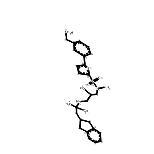 CN(CC(O)CNC(C)(C)CC1Cc2ccccc2C1)S(=O)(=O)c1ccc(-c2cccc(CC(=O)O)c2)s1